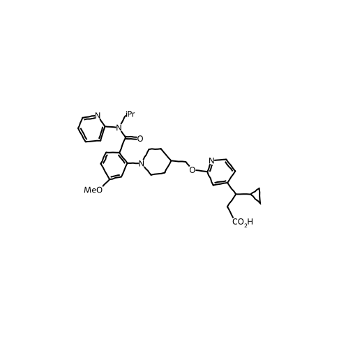 COc1ccc(C(=O)N(c2ccccn2)C(C)C)c(N2CCC(COc3cc(C(CC(=O)O)C4CC4)ccn3)CC2)c1